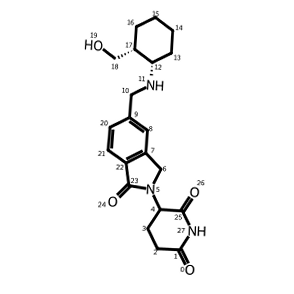 O=C1CCC(N2Cc3cc(CN[C@H]4CCCC[C@H]4CO)ccc3C2=O)C(=O)N1